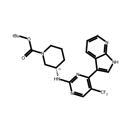 CC(C)(C)OC(=O)N1CCC[C@H](Nc2ncc(C(F)(F)F)c(-c3c[nH]c4n[c]ccc34)n2)C1